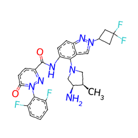 C[C@@H]1CN(c2c(NC(=O)c3ccc(=O)n(-c4c(F)cccc4F)n3)ccc3nn(C4CC(F)(F)C4)cc23)C[C@@H]1N